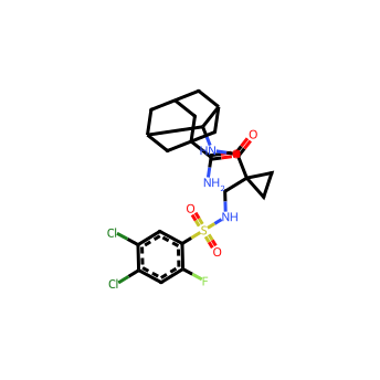 NC(=O)C12CC3CC(C1)C(NC(=O)C1(CNS(=O)(=O)c4cc(Cl)c(Cl)cc4F)CC1)C(C3)C2